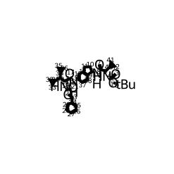 CC(C)(C)OC(=O)N[C@@H](C(=O)N[C@@H]1CCc2cc(NC(=O)[C@@H](NC(=O)OCc3ccccc3)C(C3CC3)C3CC3)ccc21)C1CC1